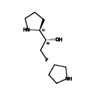 C1CCNC1.O[C@H](CF)[C@@H]1CCCN1